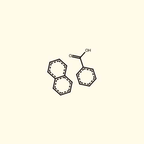 O=C(O)c1ccccc1.c1ccc2ccccc2c1